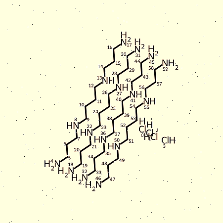 Cl.Cl.Cl.Cl.NCCCNCCCCNCCCN.NCCCNCCCCNCCCN.NCCCNCCCCNCCCN.NCCCNCCCCNCCCN